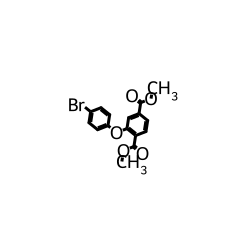 COC(=O)c1ccc(C(=O)OC)c(Oc2ccc(Br)cc2)c1